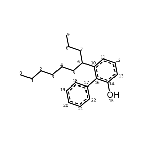 CCCCCCC(CCC)c1cccc(O)c1-c1ccccc1